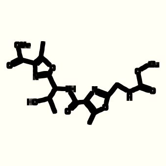 COC(=O)c1nc(C(NC(=O)c2nc(CNC(=O)OC(C)(C)C)oc2C)C(C)O)oc1C